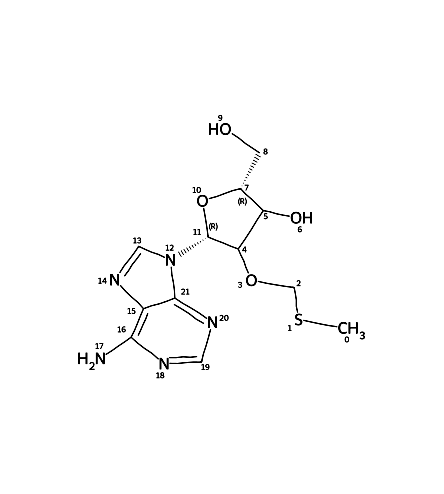 CSCOC1C(O)[C@@H](CO)O[C@H]1n1cnc2c(N)ncnc21